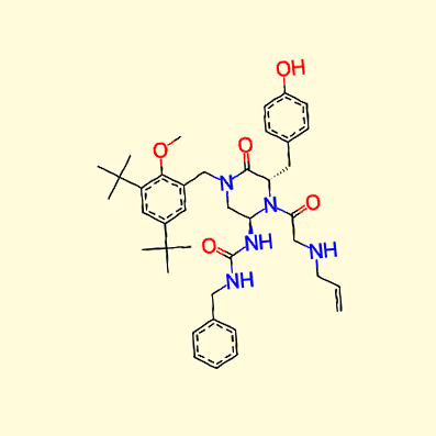 C=CCNCC(=O)N1[C@@H](NC(=O)NCc2ccccc2)CN(Cc2cc(C(C)(C)C)cc(C(C)(C)C)c2OC)C(=O)[C@@H]1Cc1ccc(O)cc1